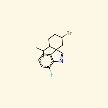 CC(C)C1CCC(Br)CC12C=Nc1c(F)cccc12